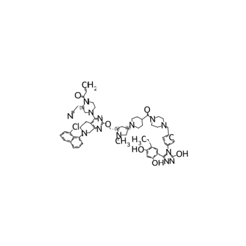 C=CC(=O)N1CCN(c2nc(OC[C@@H]3C[C@H](N4CCC(C(=O)N5CCN(Cc6ccc(-n7c(O)nnc7-c7cc(CC)c(O)cc7O)cc6)CC5)CC4)CN3C)nc3c2CCN(c2cccc4cccc(Cl)c24)C3)C[C@@H]1CC#N